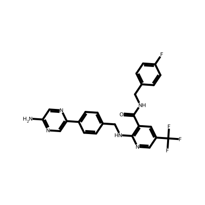 Nc1cnc(-c2ccc(CNc3ncc(C(F)(F)F)cc3C(=O)NCc3ccc(F)cc3)cc2)cn1